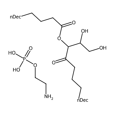 CCCCCCCCCCCCCC(=O)OC(C(=O)CCCCCCCCCCCCC)C(O)CO.NCCOP(=O)(O)O